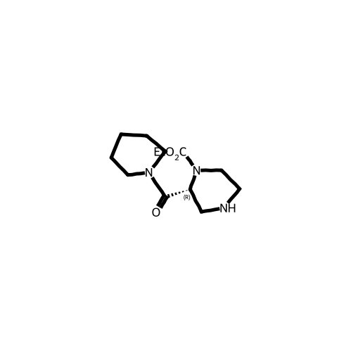 CCOC(=O)N1CCNC[C@@H]1C(=O)N1CCCCC1